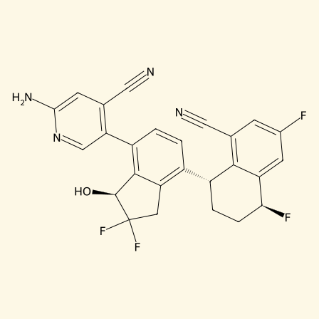 N#Cc1cc(N)ncc1-c1ccc([C@H]2CC[C@H](F)c3cc(F)cc(C#N)c32)c2c1[C@H](O)C(F)(F)C2